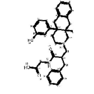 CC12Cc3ccccc3CC1(c1cccc(O)c1)CCN(CC(Cc1ccccc1)C(=O)NCC(=O)O)C2